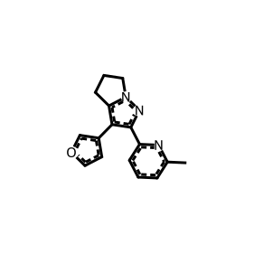 Cc1cccc(-c2nn3c(c2-c2ccoc2)CCC3)n1